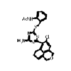 CC(=O)Nc1ccccc1CSc1nc(N)nc(-c2c(Cl)cc3c4c2CCC=C4COC3)n1